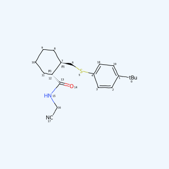 CC(C)(C)c1ccc(SC[C@@H]2CCCC[C@H]2C(=O)NCC#N)cc1